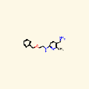 Cc1nc(NCCOCc2ccccc2)ccc1CN